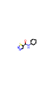 O=C(Nc1ccccc1)c1cnns1